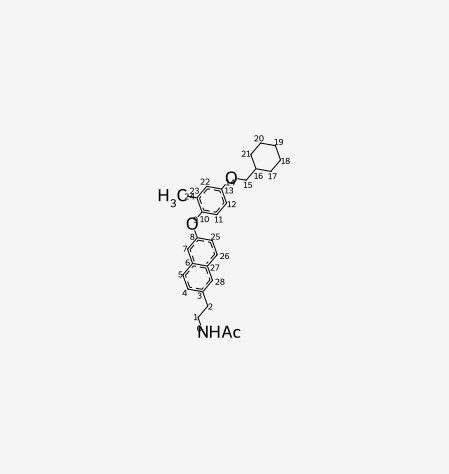 CC(=O)NCCc1ccc2cc(Oc3ccc(OCC4CCCCC4)cc3C)ccc2c1